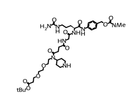 CNC(=O)OCc1ccc(NC(=O)[C@H](CCCNC(N)=O)NC(=O)CNC(=O)CCC(=O)N(CCOCCOCCC(=O)OC(C)(C)C)C2CCNCC2)cc1